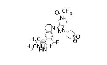 CN/C(C)=C(\C=N)c1cc2c(cc1C(F)F)N(c1nn(C3CCS(=O)(=O)CC3)c3c1CN(C(C)=O)CC3)CCC2